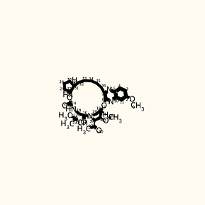 COc1ccc2nc3c(nc2c1)O[C@H]1CN(C(=O)[C@H](C(C)(C)C)NC(=O)O[C@@H]2CCC[C@H]2CCCCC3)[C@H](C(C)=O)[C@@H]1OC